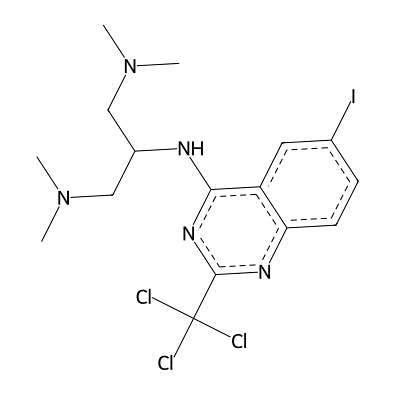 CN(C)CC(CN(C)C)Nc1nc(C(Cl)(Cl)Cl)nc2ccc(I)cc12